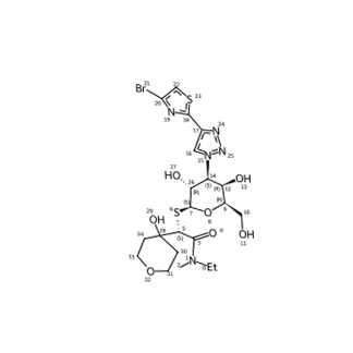 CCN(C)C(=O)[C@@H](S[C@@H]1O[C@H](CO)[C@H](O)[C@H](n2cc(-c3nc(Br)cs3)nn2)[C@H]1O)C1(O)CCOCC1